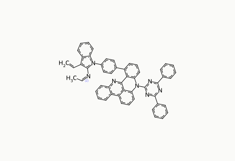 C=Cc1c(/N=C\C)n(-c2ccc(-c3cccc4c3-c3nc5ccccc5c5cccc(c35)N4c3nc(-c4ccccc4)nc(-c4ccccc4)n3)cc2)c2ccccc12